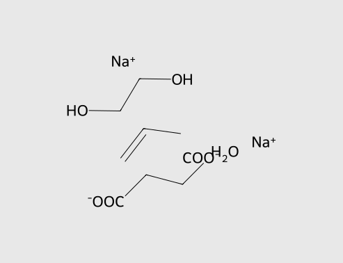 C=CC.O.O=C([O-])CCC(=O)[O-].OCCO.[Na+].[Na+]